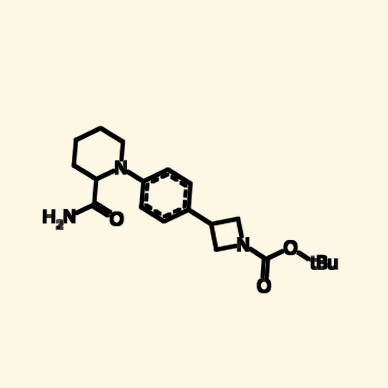 CC(C)(C)OC(=O)N1CC(c2ccc(N3CCCCC3C(N)=O)cc2)C1